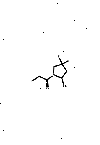 N#CC1CC(F)(F)CN1C(=O)CBr